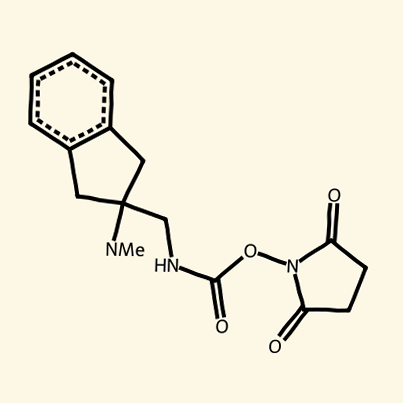 CNC1(CNC(=O)ON2C(=O)CCC2=O)Cc2ccccc2C1